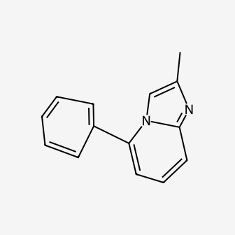 Cc1cn2c(-c3ccccc3)cccc2n1